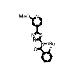 CCCCN(C(=O)c1ccccc1F)c1nnc(-c2ccnc(OC)c2)s1